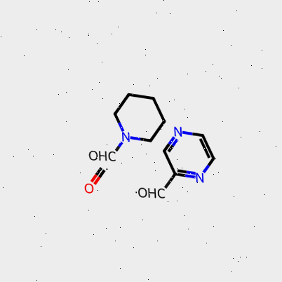 O=CN1CCCCC1.O=[C]c1cnccn1.[CH]=O